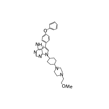 COCCN1CCN(C2CCC(n3cc(-c4ccc(Oc5ccccc5)cc4)c4c(N)ncnc43)CC2)CC1